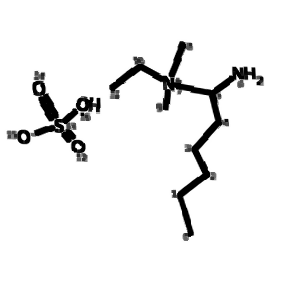 CCCCCC(N)[N+](C)(C)CC.O=S(=O)([O-])O